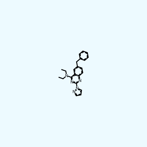 CCN(CC)c1nc(-n2cccn2)nc2ccc(Cc3ccccc3)cc12